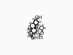 CCC(=O)OC1CCCC1.C[C@]12CC[C@@H]3c4ccc(O)cc4CC[C@H]3[C@@H]1CC[C@@H]2O